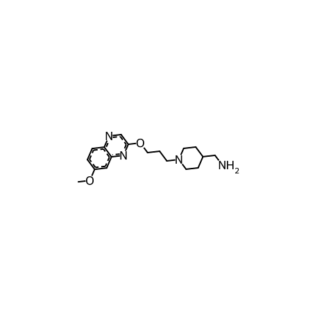 COc1ccc2ncc(OCCCN3CCC(CN)CC3)nc2c1